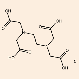 O=C(O)CN(CCN(CC(=O)O)CC(=O)O)CC(=O)O.[C]